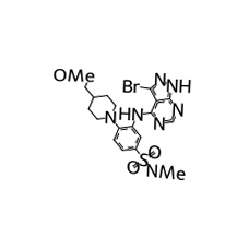 CNS(=O)(=O)c1ccc(N2CCC(COC)CC2)c(Nc2ncnc3[nH]nc(Br)c23)c1